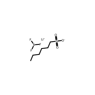 CCCCCCS(=O)(=O)[O-].FB(F)F.[Li+]